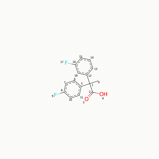 CC(C(=O)O)(c1ccc(F)cc1)c1cccc(F)c1